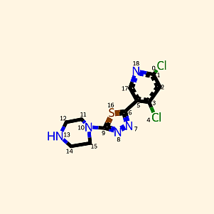 Clc1cc(Cl)c(-c2nnc(N3CCNCC3)s2)cn1